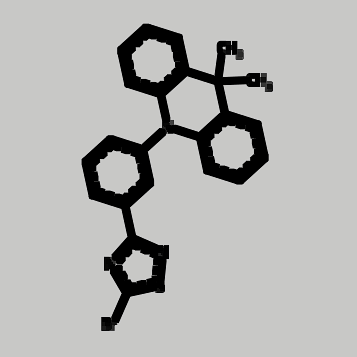 CC1(C)c2ccccc2N(c2cccc(-c3nsc(Br)n3)c2)c2ccccc21